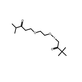 CC(C)C(=O)CCOCC[O][Y][CH2]C(=O)C(C)(C)C